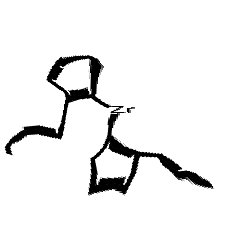 CC=CC1=[C]([Zr][C]2=C(C=CC)C=CC2)CC=C1